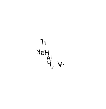 [AlH3].[NaH].[Ti].[V]